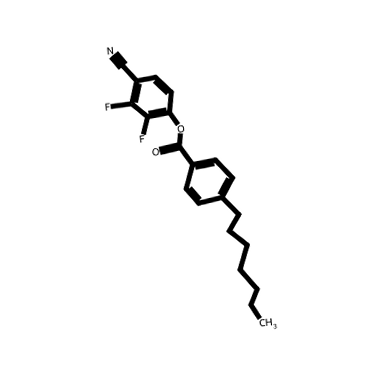 CCCCCCCc1ccc(C(=O)Oc2ccc(C#N)c(F)c2F)cc1